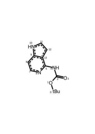 CC(C)(C)OC(=O)Nc1nccc2[nH]ccc12